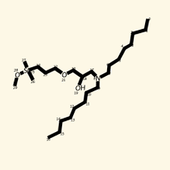 CCCCCCCCN(CCCCCCCC)CC(O)COCCC[Si](C)(C)OC